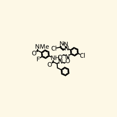 CNC(=O)c1ccc(NC(=O)C(Cc2ccccc2)N2CON(c3cc(Cl)ccc3-n3cc(Cl)nn3)CO2)cc1F